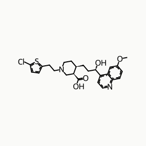 COc1ccc2nccc([C@H](O)CC[C@@H]3CCN(CCc4ccc(Cl)s4)C[C@@H]3C(=O)O)c2c1